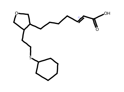 O=C(O)/C=C/CCCCC1COCC1CCSC1CCCCC1